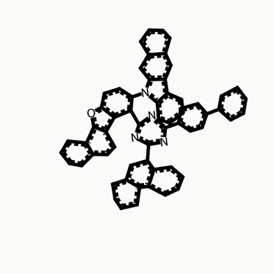 c1ccc(-c2ccc(-c3nc(-c4cc5ccccc5c5ccccc45)nc(-c4c(-n5c6ccccc6c6cc7ccccc7cc65)ccc5oc6c7ccccc7ccc6c45)n3)cc2)cc1